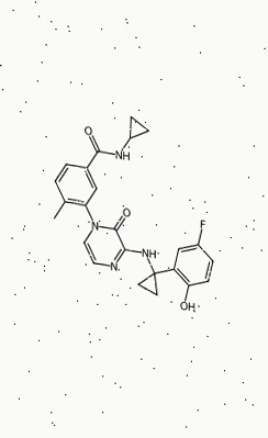 Cc1ccc(C(=O)NC2CC2)cc1-n1ccnc(NC2(c3cc(F)ccc3O)CC2)c1=O